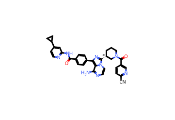 N#Cc1ccc(C(=O)N2CCC[C@@H](c3nc(-c4ccc(C(=O)Nc5cc(C6CC6)ccn5)cc4)c4c(N)nccn34)C2)cn1